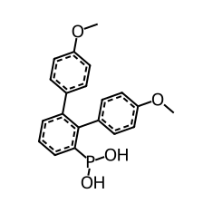 COc1ccc(-c2cccc(P(O)O)c2-c2ccc(OC)cc2)cc1